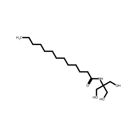 CCCCCCCCCCCCC(=O)NC(CO)(CO)CO